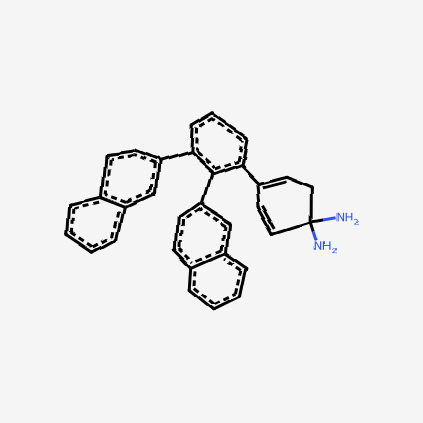 NC1(N)C=CC(c2cccc(-c3ccc4ccccc4c3)c2-c2ccc3ccccc3c2)=CC1